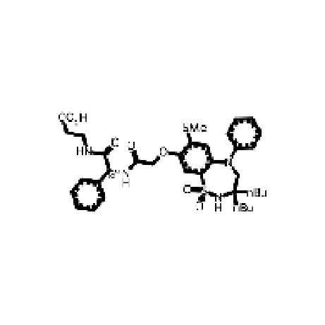 CCCCC1(CCCC)CN(c2ccccc2)c2cc(SC)c(OCC(=O)N[C@@H](C(=O)NCCC(=O)O)c3ccccc3)cc2S(=O)(=O)N1